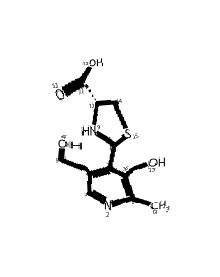 Cc1ncc(CO)c(C2N[C@H](C(=O)O)CS2)c1O